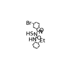 CCc1ccccc1NC(=O)N(S)c1noc2ccc(Br)cc12